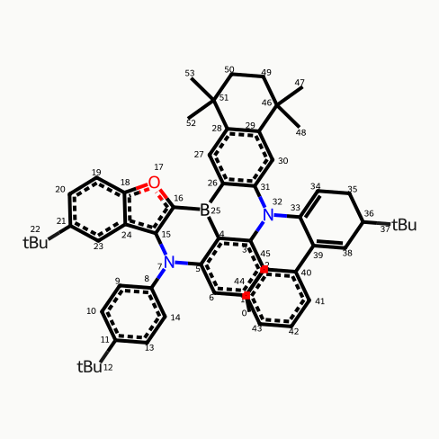 Cc1cc2c3c(c1)N(c1ccc(C(C)(C)C)cc1)c1c(oc4ccc(C(C)(C)C)cc14)B3c1cc3c(cc1N2C1=CCC(C(C)(C)C)C=C1c1ccccc1)C(C)(C)CCC3(C)C